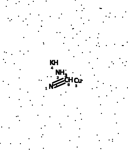 C#N.N.[Cu].[KH]